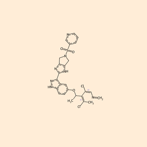 C=N/C=C(Cl)\C(=C(/C)Cl)C(C)Oc1ccc2[nH]nc(-c3nc4c([nH]3)CN(S(=O)(=O)c3cccnc3)C4)c2c1